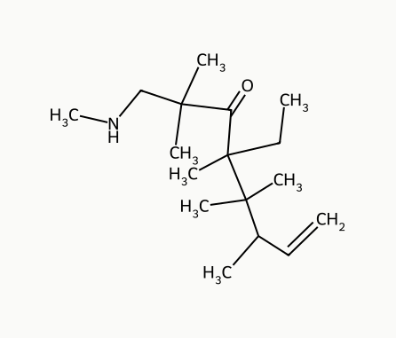 C=CC(C)C(C)(C)C(C)(CC)C(=O)C(C)(C)CNC